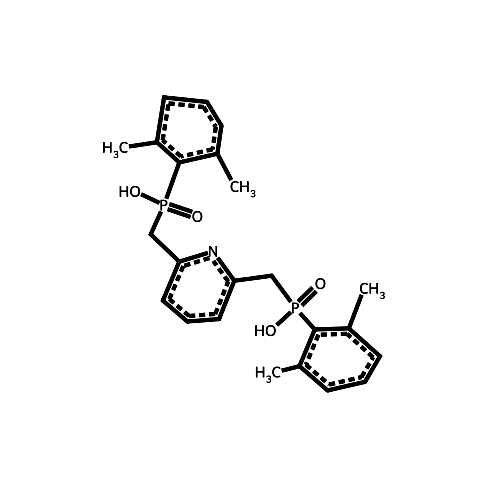 Cc1cccc(C)c1P(=O)(O)Cc1cccc(CP(=O)(O)c2c(C)cccc2C)n1